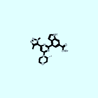 COC(=O)c1cc(-c2nc(-c3c(C)nnn3C)cc(N3CCOC[C@H]3C)n2)c2cc[nH]c2c1